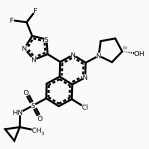 CC1(NS(=O)(=O)c2cc(Cl)c3nc(N4CC[C@H](O)C4)nc(-c4nnc(C(F)F)s4)c3c2)CC1